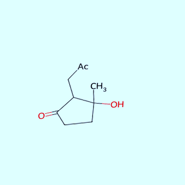 CC(=O)CC1C(=O)CCC1(C)O